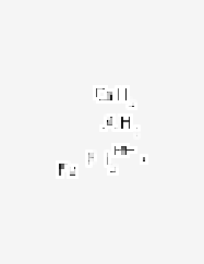 B.P.[AlH3].[CaH2].[Fe]